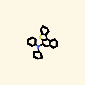 c1ccc(N(c2ccccc2)c2cc3ccccc3c3c2sc2ccccc23)cc1